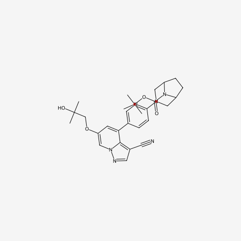 CC(C)(O)COc1cc(-c2ccc(N3CC4CCC(C3)N4C(=O)OC(C)(C)C)nc2)c2c(C#N)cnn2c1